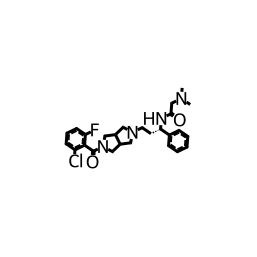 CN(C)CC(=O)N[C@@H](CCN1CC2CN(C(=O)c3c(F)cccc3Cl)CC2C1)c1ccccc1